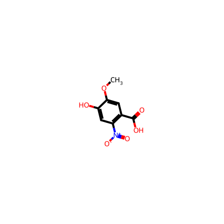 COc1cc(C(=O)O)c([N+](=O)[O-])cc1O